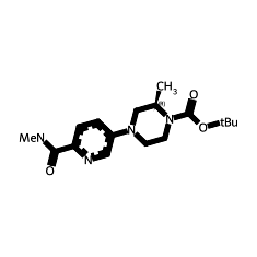 CNC(=O)c1ccc(N2CCN(C(=O)OC(C)(C)C)[C@H](C)C2)cn1